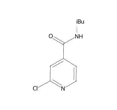 CC[C@@H](C)NC(=O)c1ccnc(Cl)c1